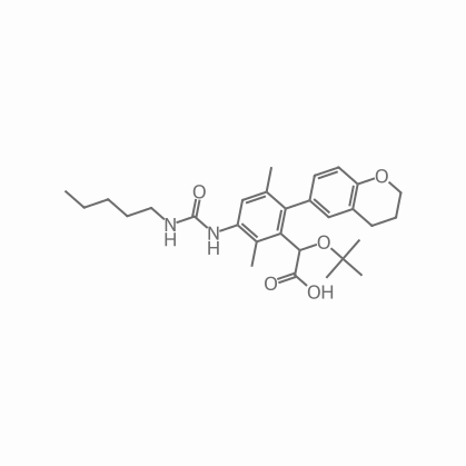 CCCCCNC(=O)Nc1cc(C)c(-c2ccc3c(c2)CCCO3)c(C(OC(C)(C)C)C(=O)O)c1C